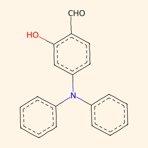 O=Cc1ccc(N(c2ccccc2)c2ccccc2)cc1O